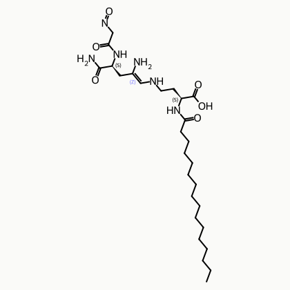 CCCCCCCCCCCCCCCC(=O)N[C@@H](CCN/C=C(\N)C[C@H](NC(=O)CN=O)C(N)=O)C(=O)O